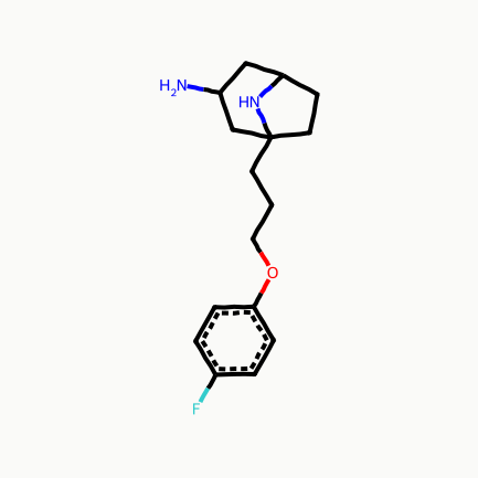 NC1CC2CCC(CCCOc3ccc(F)cc3)(C1)N2